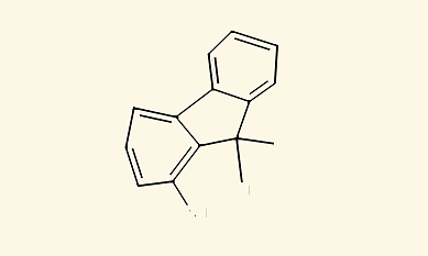 CC1(C)c2ccccc2-c2cccc(N)c21